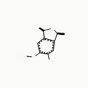 CCCCOc1cc2c(cc1OC)C(=O)OC2=O